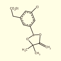 C=C1OB(c2cc(Cl)cc(CC(=O)OCC)c2)OC1(C)C